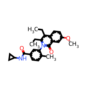 CCc1c(CC)n(-c2cc(C(=O)NC3CC3)ccc2C)c(=O)c2cc(OC)ccc12